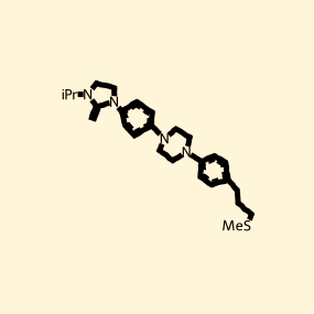 C=C1N(c2ccc(N3CCN(c4ccc(CCCSC)cc4)CC3)cc2)CCN1C(C)C